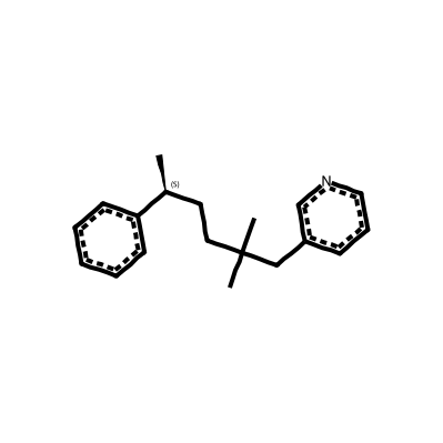 C[C@@H](CCC(C)(C)Cc1cccnc1)c1ccccc1